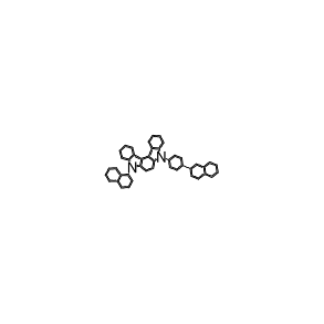 c1ccc2cc(-c3ccc(-n4c5ccccc5c5c6c7ccccc7n(-c7cccc8ccccc78)c6ccc54)cc3)ccc2c1